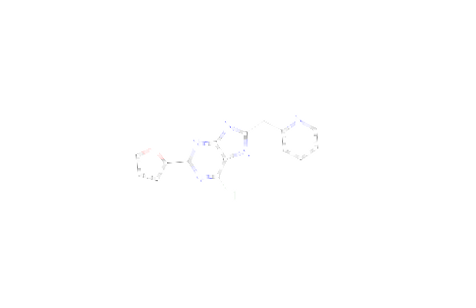 Clc1nc(-c2ccco2)nc2[nH]c(Cc3ccccn3)nc12